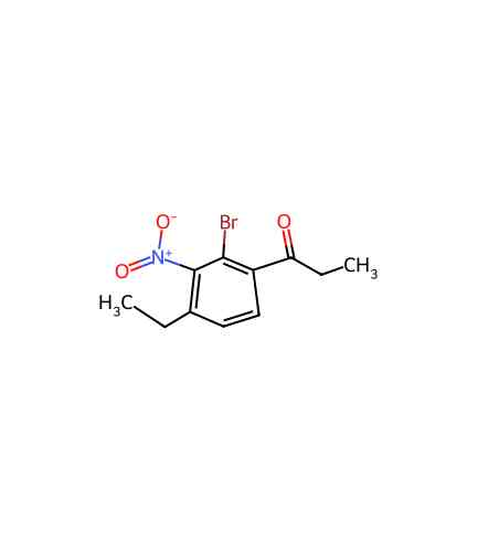 CCC(=O)c1ccc(CC)c([N+](=O)[O-])c1Br